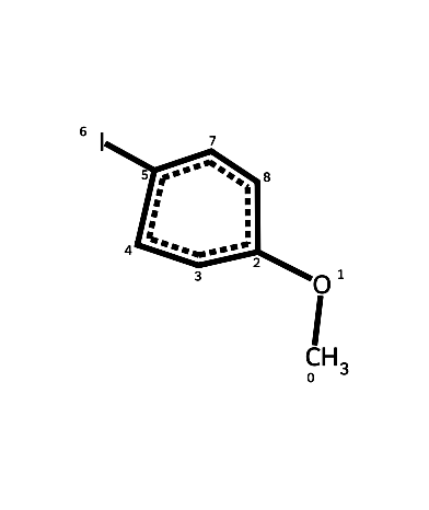 COc1[c]cc(I)cc1